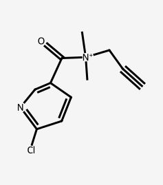 C#CC[N+](C)(C)C(=O)c1ccc(Cl)nc1